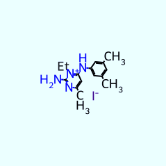 CC[n+]1c(Nc2cc(C)cc(C)c2)cc(C)nc1N.[I-]